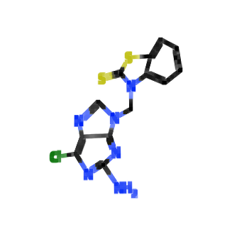 Nc1nc(Cl)c2ncn(Cn3c(=S)sc4ccccc43)c2n1